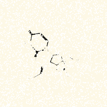 C=N[C@]1(CO)O[C@@H](n2ccc(=O)[nH]c2=O)[C@@H](C=CCl)[C@@H]1O